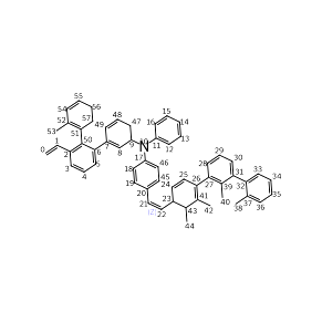 C=Cc1cccc(C2=CC(N(c3ccccc3)c3ccc(/C=C\C4C=CC(c5cccc(-c6ccccc6C)c5C)=C(C)C4C)cc3)CC=C2)c1C1=C(C)C=CCC1